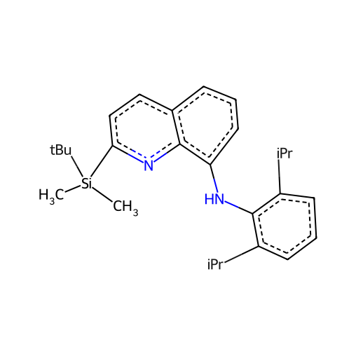 CC(C)c1cccc(C(C)C)c1Nc1cccc2ccc([Si](C)(C)C(C)(C)C)nc12